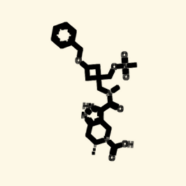 C[C@@H]1Cc2n[nH]c(C(=O)N(C)CC3(COS(C)(=O)=O)CC(OCc4ccccc4)C3)c2CN1C(=O)O